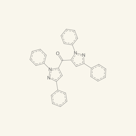 O=C(c1cc(-c2ccccc2)nn1-c1ccccc1)c1cc(-c2ccccc2)nn1-c1ccccc1